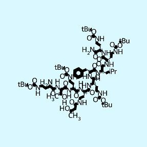 CC(C)C[C@H](NC(=O)[C@@H](Cc1ccccc1)NC(=O)[C@H](CCNC(=O)OC(C)(C)C)NC(=O)[C@H](CCNC(=O)C[C@@H](C)O)NC(=O)[C@H](CCNC(=O)OC(C)(C)C)NC(=O)[C@@H](NC(=O)[C@@H](N)CCNC(=O)OC(C)(C)C)[C@@H](C)O)C(=O)N[C@@H](CCNC(=O)OC(C)(C)C)C(=O)N[C@@H](CCNC(=O)OC(C)(C)C)C(N)=O